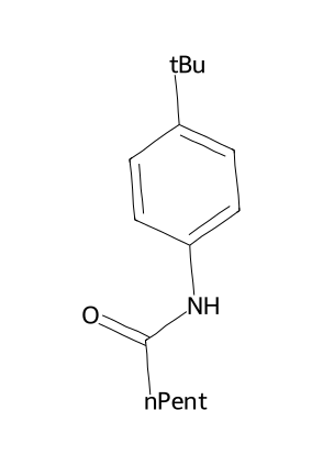 CCCCCC(=O)Nc1ccc(C(C)(C)C)cc1